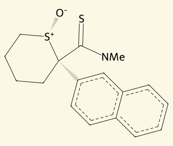 CNC(=S)[C@@]1(c2ccc3ccccc3c2)CCCC[S@+]1[O-]